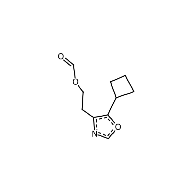 O=COCCc1ncoc1C1CCC1